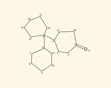 O=C1CCC(C2(C3CCCCC3)CCCCC2)CC1